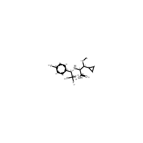 CSC(C1CC1)C(N[C@@H](c1ccc(F)cc1)C(F)(F)F)C(=O)O